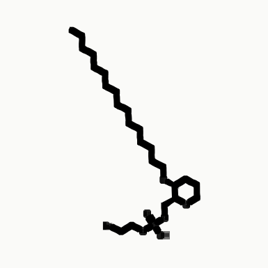 CCCCCCCCCCCCCCCCO[C@H]1CCCO[C@H]1COP(=O)(O)OCCBr